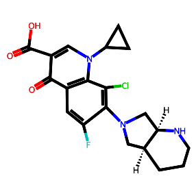 O=C(O)c1cn(C2CC2)c2c(Cl)c(N3C[C@@H]4CCCN[C@@H]4C3)c(F)cc2c1=O